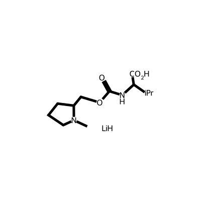 CC(C)C(NC(=O)OCC1CCCN1C)C(=O)O.[LiH]